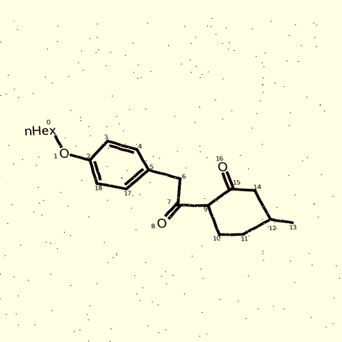 CCCCCCOc1ccc(CC(=O)C2CCC(C)CC2=O)cc1